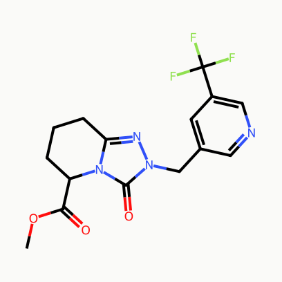 COC(=O)C1CCCc2nn(Cc3cncc(C(F)(F)F)c3)c(=O)n21